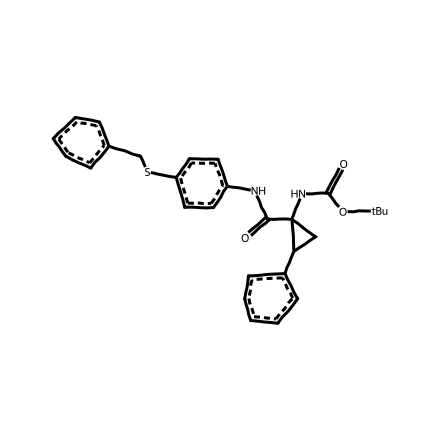 CC(C)(C)OC(=O)NC1(C(=O)Nc2ccc(SCc3ccccc3)cc2)CC1c1ccccc1